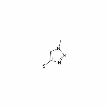 Cn1cc([S])nn1